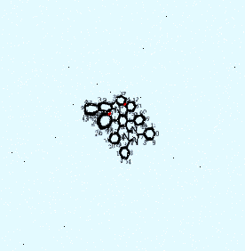 c1ccc(-c2nc(-c3ccccc3)nc(-c3c(-c4ccccc4)c(-c4ccccc4)c(-n4c5ccccc5c5cc6ccccc6cc54)c(-c4ccccc4)c3-c3ccccc3)n2)cc1